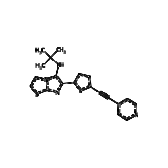 CC(C)(C)Nc1c(-c2ccc(C#Cc3ccncc3)s2)nc2sccn12